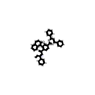 C=C/C(=C\C(=C)c1ccc(-c2nc(C3=CCCC=C3)cc(-c3ccccc3)n2)c2oc3ccc4ccccc4c3c12)C1C=CC=CC1